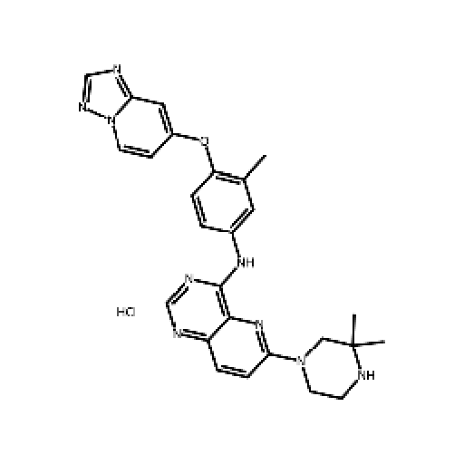 Cc1cc(Nc2ncnc3ccc(N4CCNC(C)(C)C4)nc23)ccc1Oc1ccn2ncnc2c1.Cl